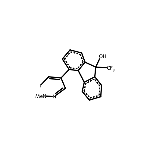 CN/N=C\C(=C/I)c1cccc2c1-c1ccccc1C2(O)C(F)(F)F